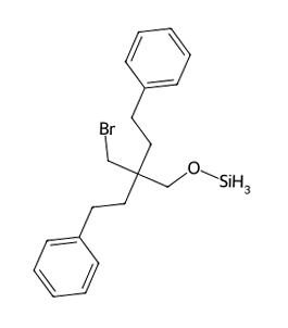 [SiH3]OCC(CBr)(CCc1ccccc1)CCc1ccccc1